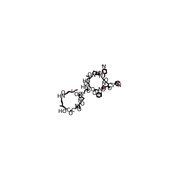 CC[C@H]1OC(=O)C2C(SCCC(=O)N[C@@H]3C(=O)NC(C)(CC)C(=O)N4CCC[C@H]4C(=O)N(C)[C@@H](Cc4ccc(N(C)C)cc4)C(=O)N4C[C@@H](CSC5CN6CCC5CC6)C(=O)C[C@H]4C(=O)N[C@@H](c4ccccc4)C(=O)O[C@@H]3C)CCN2C(=O)c2coc(n2)CC(=O)C[C@H](O)/C=C(C)/C=C/CNC(=O)/C=C/[C@H]1C